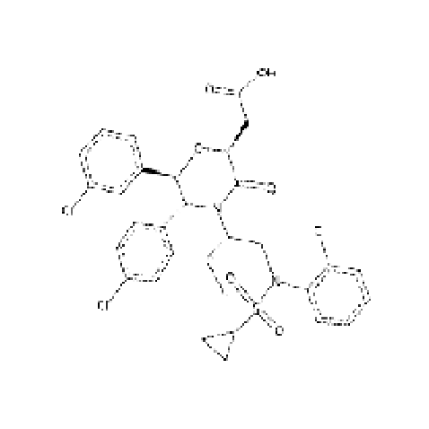 CC[C@@H](CN(c1ccccc1Cl)S(=O)(=O)C1CC1)N1C(=O)[C@H](CC(=O)O)O[C@H](c2cccc(Cl)c2)[C@H]1c1ccc(Cl)cc1